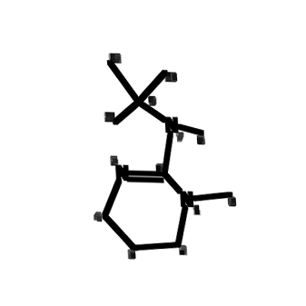 CN1CCCN=C1N(C)C(C)(C)C